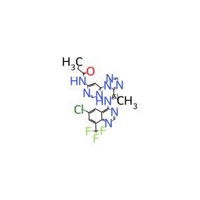 CCC(=O)Nc1cc(-n2ncnc2[C@H](C)Nc2ncnc3c(C(F)(F)F)cc(Cl)cc23)ncn1